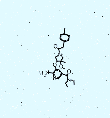 CCN(CC)C(=O)c1cnc(N)c(OC2CN(C(=O)Cc3ccc(C)cc3)CC2(C)OC)c1